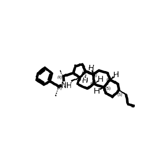 CCC[C@H]1CC[C@H]2[C@H](CC[C@@H]3[C@@H]2CC[C@]2(C)C([C@@H](C)N[C@H](C)c4ccccc4)CC[C@@H]32)C1